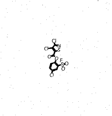 O=C(Oc1ccc(Cl)cc1S(=O)(=O)F)c1snc(Cl)c1Cl